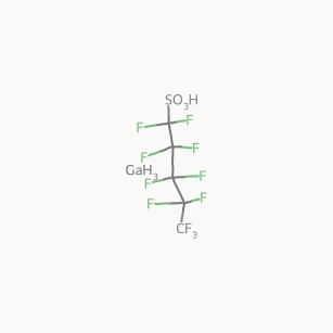 O=S(=O)(O)C(F)(F)C(F)(F)C(F)(F)C(F)(F)C(F)(F)F.[GaH3]